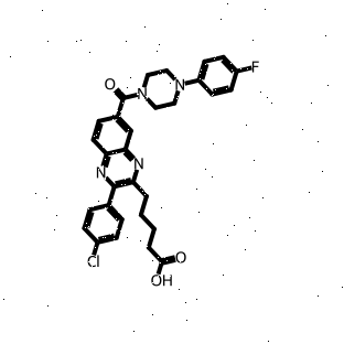 O=C(O)CCCCc1nc2cc(C(=O)N3CCN(c4ccc(F)cc4)CC3)ccc2nc1-c1ccc(Cl)cc1